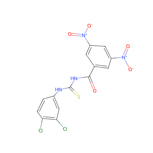 O=C(NC(=S)Nc1ccc(Cl)c(Cl)c1)c1cc([N+](=O)[O-])cc([N+](=O)[O-])c1